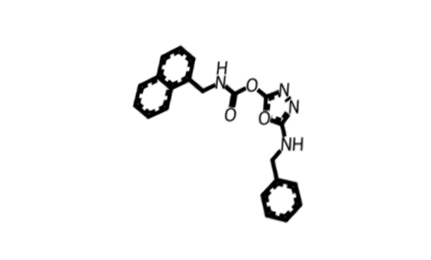 O=C(NCc1cccc2ccccc12)Oc1nnc(NCc2ccccc2)o1